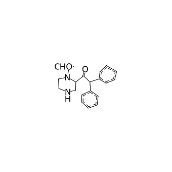 O=[C]N1CCNCC1C(=O)C(c1ccccc1)c1ccccc1